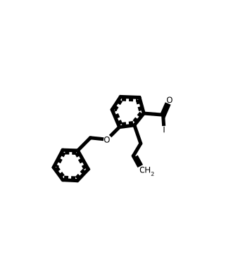 C=CCc1c(OCc2ccccc2)cccc1C(=O)I